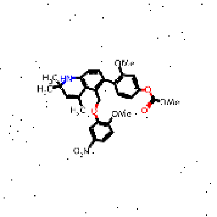 COC(=O)Oc1ccc(-c2ccc3c(c2COc2cc([N+](=O)[O-])ccc2OC)C(C)=CC(C)(C)N3)c(OC)c1